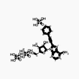 Nc1ncnc2c1nc(C#Cc1ccccc1)n2[C@@H]1O[C@H](CO)[C@@H](O)[C@H]1O.O=P(O)(O)O.O=P(O)(O)O.O=P(O)(O)O